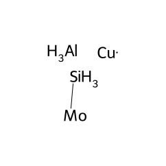 [AlH3].[Cu].[SiH3][Mo]